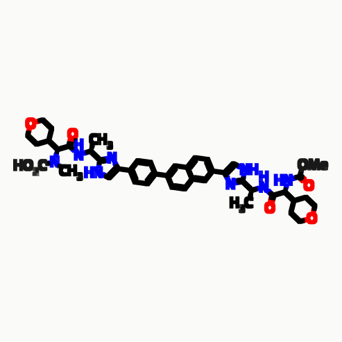 COC(=O)N[C@H](C(=O)N[C@@H](C)c1nc(-c2ccc3cc(-c4ccc(-c5c[nH]c([C@H](C)NC(=O)[C@H](C6CCOCC6)N(C)C(=O)O)n5)cc4)ccc3c2)c[nH]1)C1CCOCC1